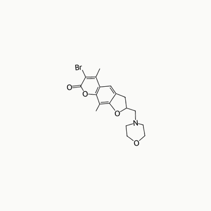 Cc1c(Br)c(=O)oc2c(C)c3c(cc12)CC(CN1CCOCC1)O3